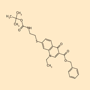 CCn1cc(C(=O)OCc2ccccc2)c(=O)c2ccc(SCCNC(=O)OC(C)(C)C)cc21